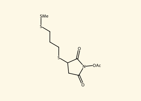 CSSCCCSC1CC(=O)N(OC(C)=O)C1=O